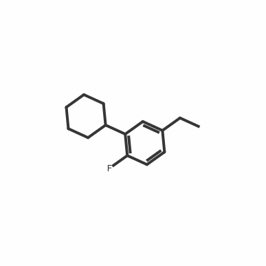 CCc1ccc(F)c(C2CCCCC2)c1